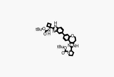 CC(C)(C)OC(=O)NC1(c2nc3cc(-c4ccc5c(c4)OCCc4[nH]c(C6CCCN6C(=O)OC(C)(C)C)nc4-5)ccc3[nH]2)CCC1